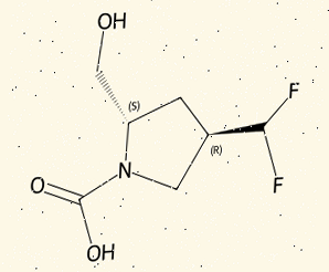 O=C(O)N1C[C@H](C(F)F)C[C@H]1CO